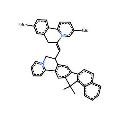 CC(C)(C)c1ccc2c(c1)C/C(=C\C1C[n+]3ccccc3-c3cc4c(cc31)-c1ccc3ccccc3c1C4(C)C)[n+]1cc(C(C)(C)C)ccc1-2